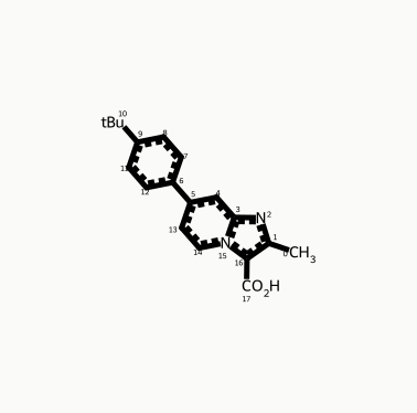 Cc1nc2cc(-c3ccc(C(C)(C)C)cc3)ccn2c1C(=O)O